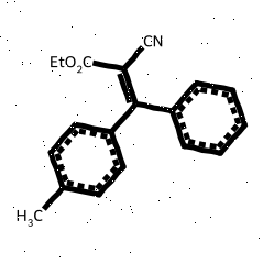 CCOC(=O)C(C#N)=C(c1ccccc1)c1ccc(C)cc1